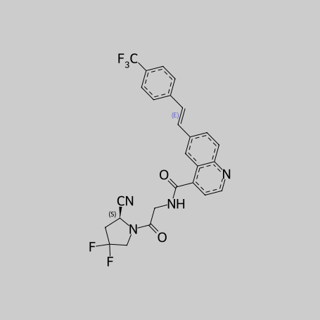 N#C[C@@H]1CC(F)(F)CN1C(=O)CNC(=O)c1ccnc2ccc(/C=C/c3ccc(C(F)(F)F)cc3)cc12